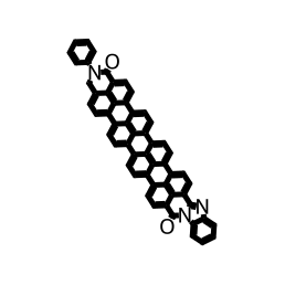 O=C1c2ccc3c4ccc5c6ccc7c8ccc9c%10c(ccc(c%11ccc(c%12ccc(c%13ccc(c2c%133)CN1c1ccccc1)c4c%125)c6c%117)c8%10)c(=O)n1c2ccccc2nc91